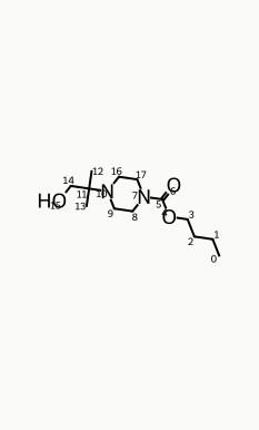 CCCCOC(=O)N1CCN(C(C)(C)CO)CC1